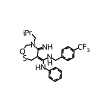 CC(C)CN1COSC/C(=C(/NCc2ccc(C(F)(F)F)cc2)Nc2ccccc2)C1=N